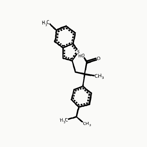 Cc1ccc2sc(CC(C)(C(=O)O)c3ccc(C(C)C)cc3)cc2c1